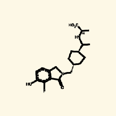 CC(N[C@H](C)C(=O)O)[C@H]1CC[C@H](CN2Cc3ccc(O)c(F)c3C2=O)CC1